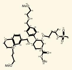 COCCCN1CCOc2ccc(CO[C@H]3CN(C(=O)OC(C)(C)C)C[C@@H](OCC[C@@H](C)OS(C)(=O)=O)[C@@H]3c3ccc(COCCOC)cc3)cc21